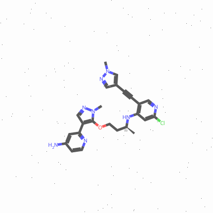 C[C@@H](CCOc1c(-c2cc(N)ccn2)cnn1C)Nc1cc(Cl)ncc1C#Cc1cnn(C)c1